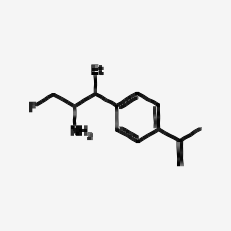 C=C(C)c1ccc(C(CC)C(N)CF)cc1